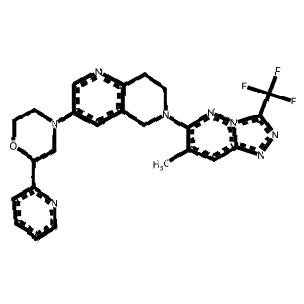 Cc1cc2nnc(C(F)(F)F)n2nc1N1CCc2ncc(N3CCOC(c4ccccn4)C3)cc2C1